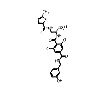 Cc1ccc(C(=O)NC[C@H](NC(=O)c2c(Cl)cc(C(=O)NCc3cccc(O)c3)cc2Cl)C(=O)O)s1